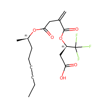 C=C(CC(=O)O[C@H](C)CCCCCC)C(=O)O[C@H](CC(=O)O)C(F)(F)F